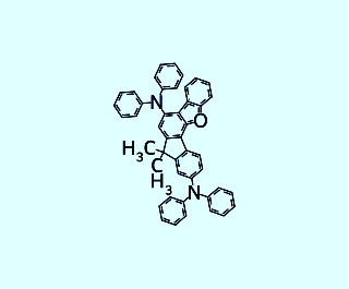 CC1(C)c2cc(N(c3ccccc3)c3ccccc3)ccc2-c2c1cc(N(c1ccccc1)c1ccccc1)c1c2oc2ccccc21